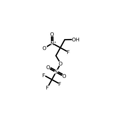 O=[N+]([O-])C(F)(CO)COS(=O)(=O)C(F)(F)F